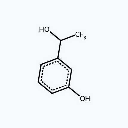 Oc1cccc(C(O)C(F)(F)F)c1